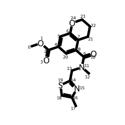 COC(=O)c1cc2c(c(C(=O)N(C)Cc3nc(C)cs3)c1)CCCO2